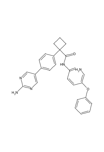 C=C(/C=C\C(=C/N)Oc1ccccc1)NC(=O)C1(c2ccc(-c3cnc(N)nc3)cc2)CCC1